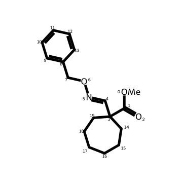 COC(=O)C1(C=NOCc2ccccc2)CCCCCC1